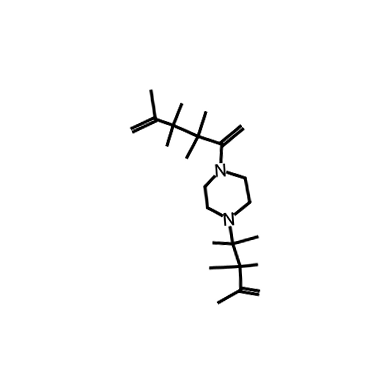 C=C(C)C(C)(C)C(C)(C)C(=C)N1CCN(C(C)(C)C(C)(C)C(=C)C)CC1